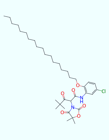 CCCCCCCCCCCCCCCCCCOc1ccc(Cl)cc1NC(=O)C(C(=O)C(C)(C)C)N1C(=O)OC(C)(C)C1=O